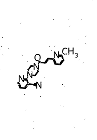 Cc1cccc(/C=C/C(=O)N2CCN(c3ncccc3C#N)CC2)n1